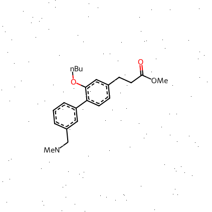 CCCCOc1cc(CCC(=O)OC)ccc1-c1cccc(CNC)c1